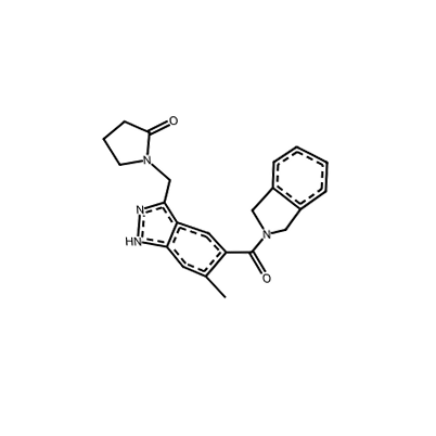 Cc1cc2[nH]nc(CN3CCCC3=O)c2cc1C(=O)N1Cc2ccccc2C1